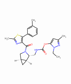 CCn1nc(C)cc1OC(=O)NC[C@@H]1[C@H]2C[C@H]2CN1C(=O)c1nc(C)sc1-c1cccc(C)c1